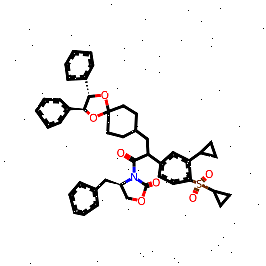 O=C1OC[C@@H](Cc2ccccc2)N1C(=O)C(CC1CCC2(CC1)O[C@@H](c1ccccc1)[C@H](c1ccccc1)O2)c1ccc(S(=O)(=O)C2CC2)c(C2CC2)c1